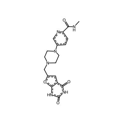 CNC(=O)c1ccc(N2CCN(Cc3cc4c(=O)[nH]c(=O)[nH]c4o3)CC2)cn1